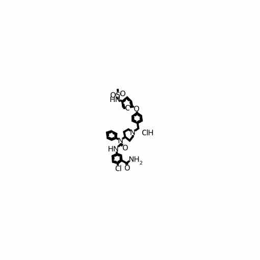 CS(=O)(=O)Nc1ccc(Oc2ccc(CN3CCC(N(C(=O)Nc4ccc(Cl)c(C(N)=O)c4)c4ccccc4)CC3)cc2)cc1.Cl